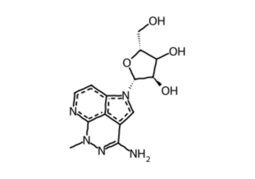 CN1N=C(N)c2cn([C@@H]3O[C@H](CO)C(O)[C@H]3O)c3ccnc1c23